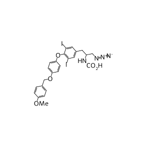 COc1ccc(COc2ccc(Oc3c(I)cc(CC(CN=[N+]=[N-])NC(=O)O)cc3I)cc2)cc1